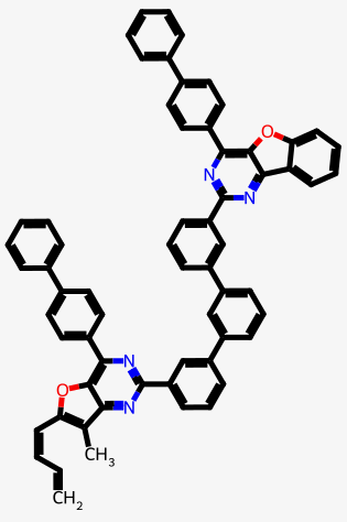 C=C/C=C\c1oc2c(-c3ccc(-c4ccccc4)cc3)nc(-c3cccc(-c4cccc(-c5cccc(-c6nc(-c7ccc(-c8ccccc8)cc7)c7oc8ccccc8c7n6)c5)c4)c3)nc2c1C